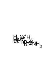 CCNC[C@H](C)C(C)c1cc(-c2ccc(N)nc2)ncn1